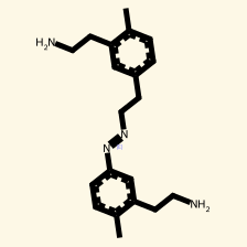 Cc1ccc(CC/N=N/c2ccc(C)c(CCN)c2)cc1CCN